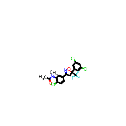 CC(=O)N(C)c1cc(C2=NOC(c3cc(Cl)cc(Cl)c3)(C(F)(F)F)C2)ccc1Cl